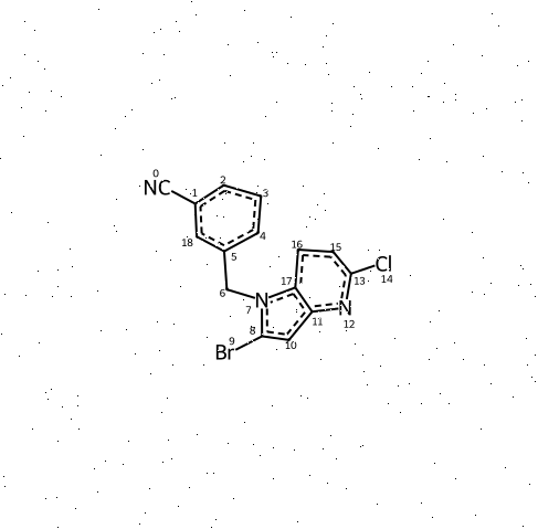 N#Cc1cccc(Cn2c(Br)cc3nc(Cl)ccc32)c1